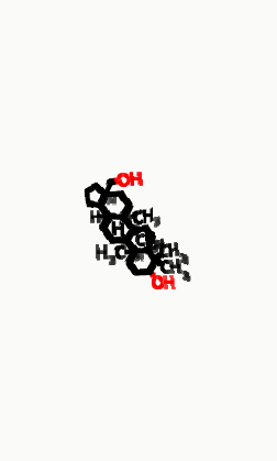 CC1(C)C(O)CC[C@]2(C)[C@H]3CC[C@@H]4C5CCC[C@]5(CO)CC[C@@]4(C)[C@]3(C)CC[C@@H]12